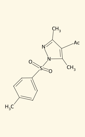 CC(=O)c1c(C)nn(S(=O)(=O)c2ccc(C)cc2)c1C